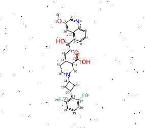 COc1cnc2cccc(C(O)CC[C@@H]3CCN(C4CC(c5c(F)cccc5F)C4)C[C@@H]3C(=O)O)c2c1